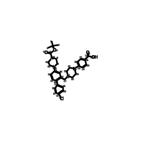 CC(C)(C)OC(=O)N1CCN(c2ccc(-c3ccc(Cl)cc3)c(CN3CCN(c4ccc(C(=O)O)cc4)CC3)c2)CC1